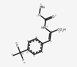 CC(C)(C)OC(=O)N/C(=C\c1ccc(C(C)(F)F)cc1)C(=O)O